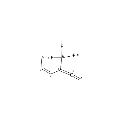 C=C=C(/C=C\C)C(F)(F)F